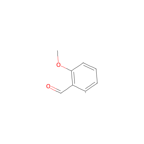 COc1ccc[c]c1C=O